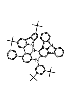 CC(C)(C)c1cc(N2c3ccc(-c4ccccc4)c4c3B(c3c2cc2c5ccccc5n5c6ccccc6c3c25)n2c3ccc(C(C)(C)C)cc3c3cc(C(C)(C)C)cc-4c32)cc(C(C)(C)C)c1